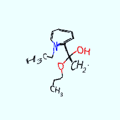 [CH2]C(O)(OCCC)C1=CC=CC=CN1CC